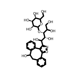 OCC(O)[C@@H](OC1OC(CO)[C@H](O)[C@H](O)[C@@H]1O)[C@H](O)C(O)c1noc2c1-c1ccccc1C(O)Cc1ccccc1-2